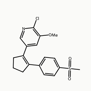 COc1cc(C2=C(c3ccc(S(C)(=O)=O)cc3)CCC2)cnc1Cl